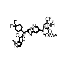 COC[C@H](c1cnn2cc([C@@H](NC(=O)c3ccnn3C)C3CCC(F)(F)CC3)nc2c1)N1CC(C(F)(F)F)NC1=O